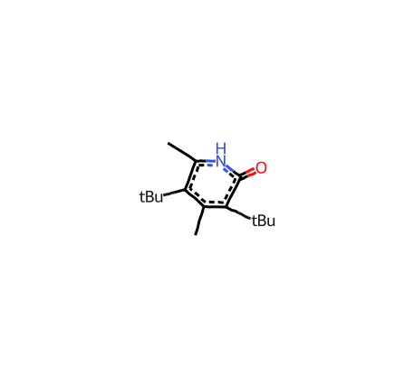 Cc1[nH]c(=O)c(C(C)(C)C)c(C)c1C(C)(C)C